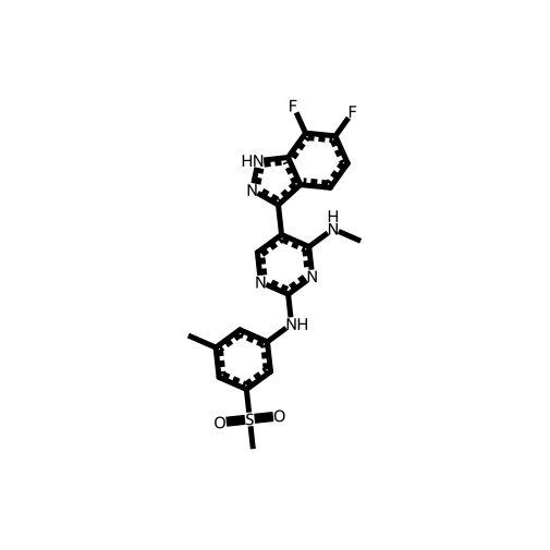 CNc1nc(Nc2cc(C)cc(S(C)(=O)=O)c2)ncc1-c1n[nH]c2c(F)c(F)ccc12